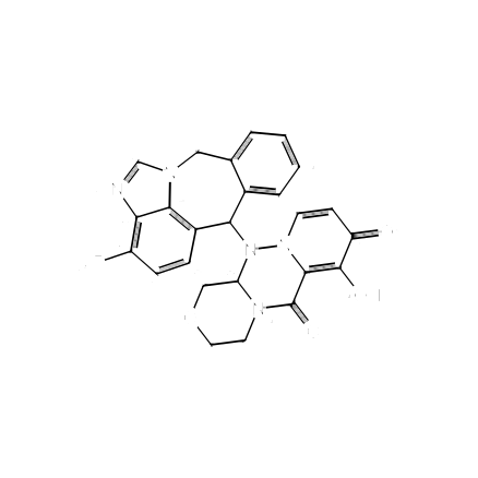 O=C1c2c(O)c(=O)ccn2N(C2c3ccccc3Cn3cnc4c(F)ccc2c43)C2COCCN12